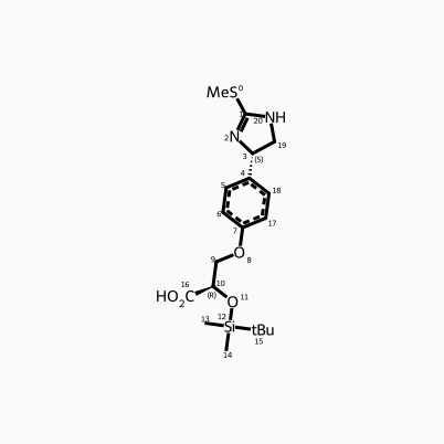 CSC1=N[C@@H](c2ccc(OC[C@@H](O[Si](C)(C)C(C)(C)C)C(=O)O)cc2)CN1